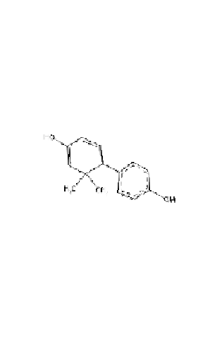 CC1(C)C=C(O)C=CC1c1ccc(O)cc1